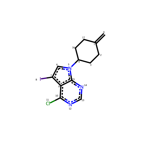 C=C1CCC(n2cc(I)c3c(Cl)ncnc32)CC1